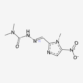 CN(C)C(=O)N/N=C/c1ncc([N+](=O)[O-])n1C